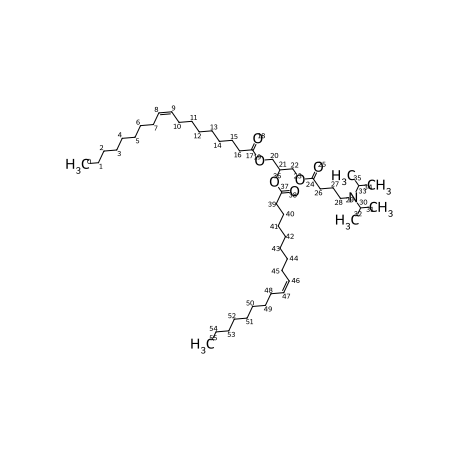 CCCCCCCC/C=C\CCCCCCCC(=O)OCC(COC(=O)CCCN(C(C)C)C(C)C)OC(=O)CCCCCCC/C=C\CCCCCCCC